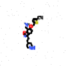 CN(C)Cc1c(OCc2ccc(C#N)s2)ccc2c(CCC3CCNCC3)noc12